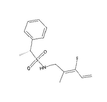 C=C/C(F)=C(\C)CNS(=O)(=O)[C@H](C)c1ccccc1